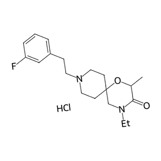 CCN1CC2(CCN(CCc3cccc(F)c3)CC2)OC(C)C1=O.Cl